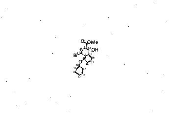 COC(=O)c1nc(Br)c2c(Oc3ccccc3)cccc2c1O